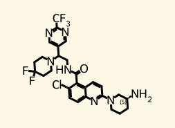 N[C@H]1CCCN(c2ccc3c(C(=O)NCC(c4cnc(C(F)(F)F)nc4)N4CCC(F)(F)CC4)c(Cl)ccc3n2)C1